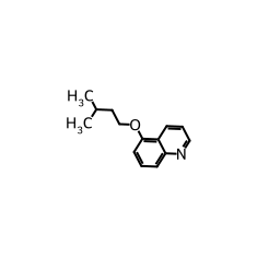 CC(C)CCOc1cccc2ncccc12